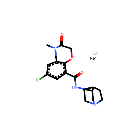 CN1C(=O)COc2c(C(=O)NC3CN4CCC3CC4)cc(Cl)cc21.[Cl-].[Na+]